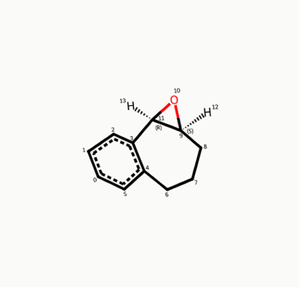 c1ccc2c(c1)CCC[C@@H]1O[C@H]21